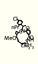 CCCc1cc(Cl)ccc1C1COc2ccc3cc2N(C1)CC1CCC1C(OC)/C=C/CC(C)C(C)SNC3=O